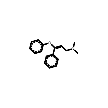 CN(C)CC=C(Oc1ccccc1)c1ccccc1